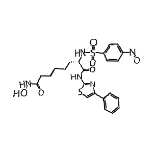 O=Nc1ccc(S(=O)(=O)N[C@@H](CCCCCC(=O)NO)C(=O)Nc2nc(-c3ccccc3)cs2)cc1